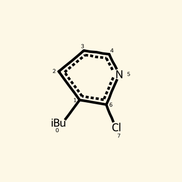 CCC(C)c1cccnc1Cl